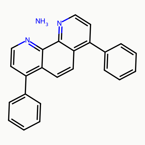 N.c1ccc(-c2ccnc3c2ccc2c(-c4ccccc4)ccnc23)cc1